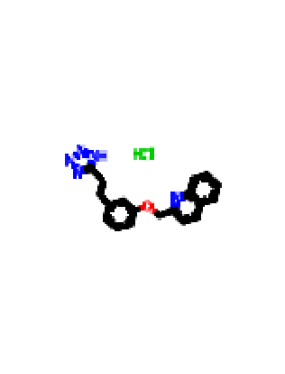 C(=Cc1nnn[nH]1)c1cccc(OCc2ccc3ccccc3n2)c1.Cl